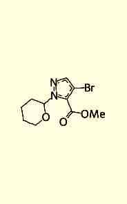 COC(=O)c1c(Br)cnn1C1CCCCO1